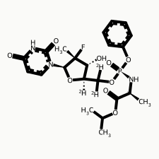 [2H]C([2H])(O[P@@](=O)(N[C@@H](C)C(=O)OC(C)C)Oc1ccccc1)[C@@]1([2H])O[C@@H](n2ccc(=O)[nH]c2=O)[C@](C)(F)[C@@H]1O